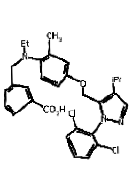 CCN(Cc1cccc(C(=O)O)c1)c1ccc(OCc2c(C(C)C)cnn2-c2c(Cl)cccc2Cl)cc1C